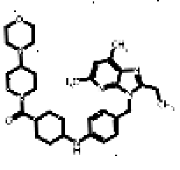 CCc1nc2c(C)cc(C)nc2n1Cc1ccc(NC2CCC(C(=O)N3CCC(N4CCOCC4)CC3)CC2)cc1